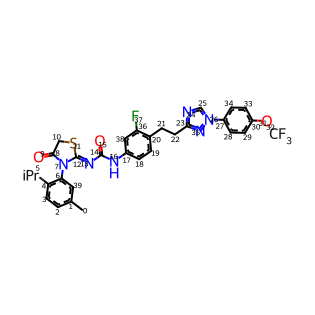 Cc1ccc(C(C)C)c(N2C(=O)CS/C2=N\C(=O)Nc2ccc(CCc3ncn(-c4ccc(OC(F)(F)F)cc4)n3)c(F)c2)c1